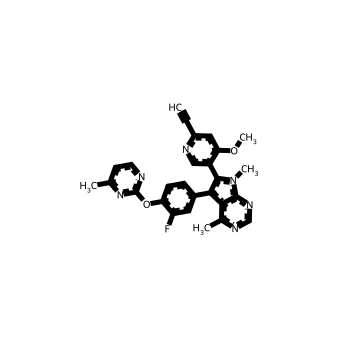 C#Cc1cc(OC)c(-c2c(-c3ccc(Oc4nccc(C)n4)c(F)c3)c3c(C)ncnc3n2C)cn1